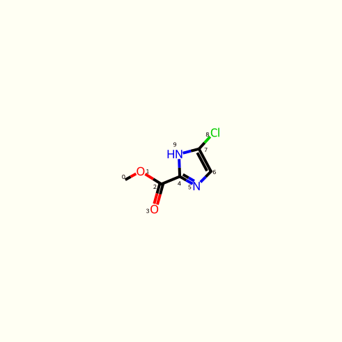 COC(=O)c1ncc(Cl)[nH]1